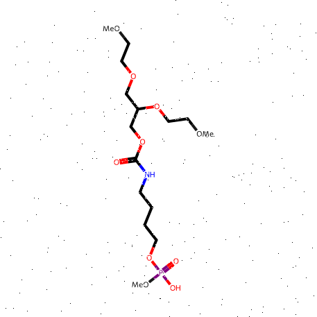 COCCOCC(COC(=O)NCCCCOP(=O)(O)OC)OCCOC